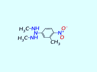 CNN(NC)c1ccc([N+](=O)[O-])c(C)c1